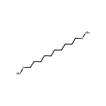 CCCCSCCCCCCCCCCSCCCC